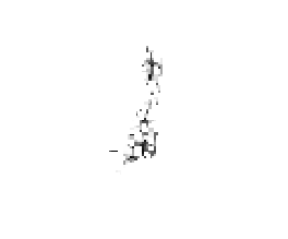 CCc1cnc(N2CCC(CCCOc3cc(F)c(-c4noc(C[C@H](C)O)n4)c(F)c3)CC2)nc1